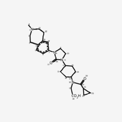 CN1CCc2ccc(N3CCN(C4CCC(N(CC(=O)O)C(=O)C5CC5)CC4)C3=O)cc2CC1